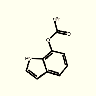 CCCC(=O)Oc1cccc2cc[nH]c12